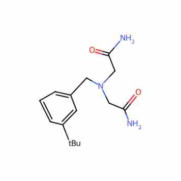 CC(C)(C)c1cccc(CN(CC(N)=O)CC(N)=O)c1